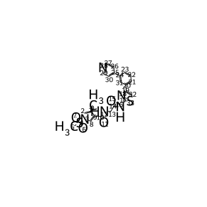 Cc1cn(S(C)(=O)=O)cc1C(=O)NCC(=O)Nc1nc(-c2cccc(-c3ccncc3)c2)cs1